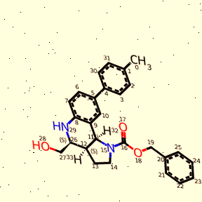 Cc1ccc(-c2ccc3c(c2)[C@@H]2[C@@H](CCN2C(=O)OCc2ccccc2)[C@@H](CO)N3)cc1